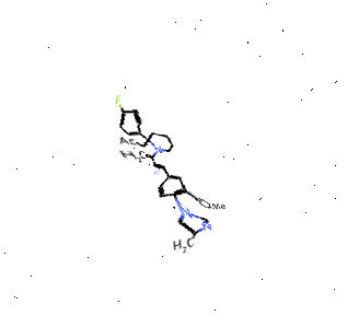 C=C(/C=C/c1ccc(-n2cnc(C)c2)c(OC)c1)N1CCCCC1(CC(C)=O)c1ccc(F)cc1